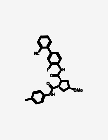 CO[C@@H]1C[C@H](C(=O)Nc2ccc(-c3ccccc3C#N)cc2F)N(C(=O)Nc2ccc(C)cc2)C1